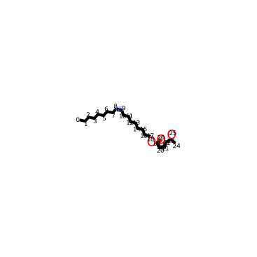 CCCCCCCC/C=C\CCCCCCCCOc1ccc(C(C)=O)o1